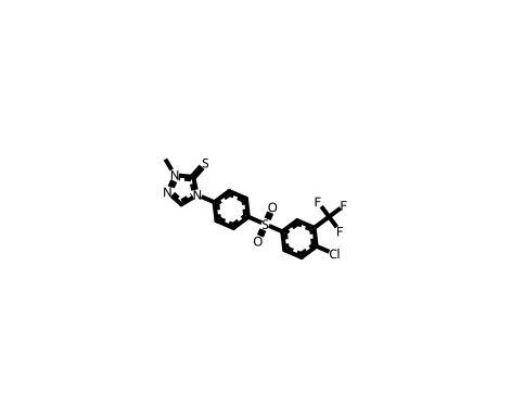 Cn1ncn(-c2ccc(S(=O)(=O)c3ccc(Cl)c(C(F)(F)F)c3)cc2)c1=S